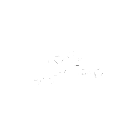 COC(=O)CCC/C=C\C[C@H]1[C@H](/C=C/[C@@H](O)COc2ccccc2)[C@@H]2C[C@@]1(c1ccc(F)cc1)CO2